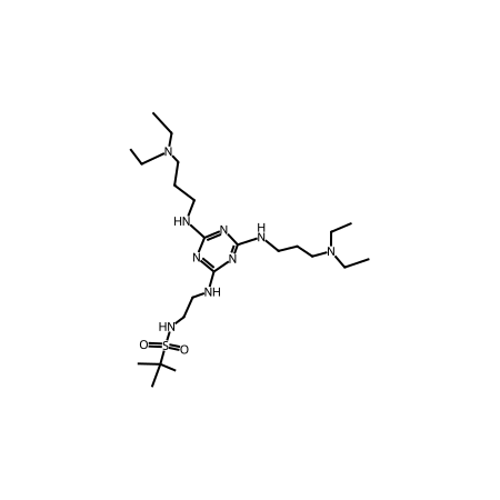 CCN(CC)CCCNc1nc(NCCCN(CC)CC)nc(NCCNS(=O)(=O)C(C)(C)C)n1